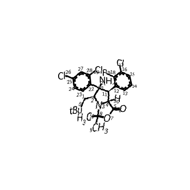 CC(C)(C)C[C@@H]1N2[C@@H](C(=O)OC2(C)C)[C@H](c2cccc(Cl)c2F)[C@@]1(N)c1ccc(Cl)cc1Cl